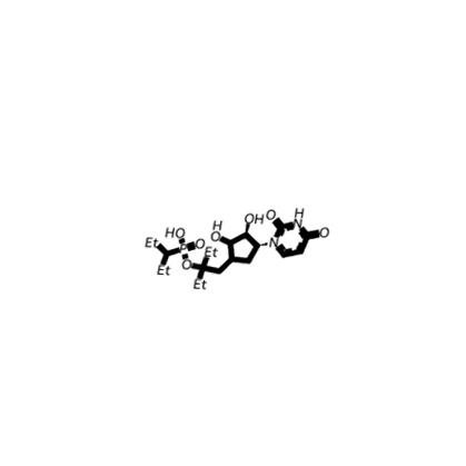 CCC(CC)P(=O)(O)OC(CC)(CC)CC1C[C@@H](n2ccc(=O)[nH]c2=O)[C@H](O)C1O